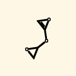 C1=C(OC2CO2)O1